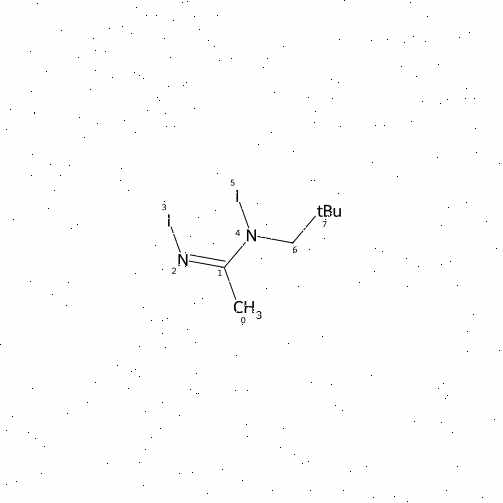 C/C(=N/I)N(I)CC(C)(C)C